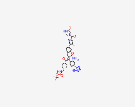 Cc1cc(C(=O)N2CCNC(=O)C2)ncc1-c1ccc(C[C@@H](C(N)=O)N(c2ccc(-c3nnn[nH]3)cc2)C(=O)[C@H]2CC[C@H](CNC(=O)OC(C)(C)C)CC2)cc1